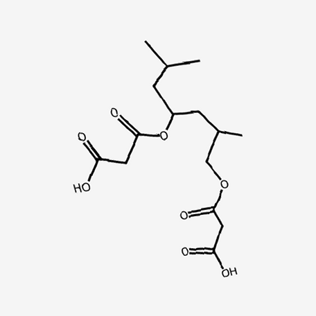 CC(C)CC(CC(C)COC(=O)CC(=O)O)OC(=O)CC(=O)O